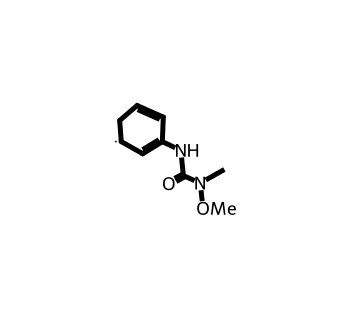 CON(C)C(=O)NC1=C[CH]CC=C1